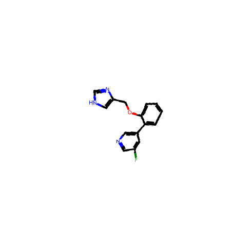 Fc1cncc(-c2ccccc2OCc2c[nH]cn2)c1